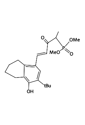 COP(=O)(OC)C(C)C(=O)C=Cc1cc(C(C)(C)C)c(O)c2c1CCCC2